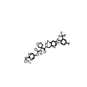 COc1ncc(OC(=O)N[C@@]2(C(=O)NCc3ncc(Nc4ccc(F)cc4C(F)(F)F)cc3F)CCOC2)cn1